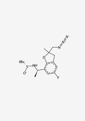 C[C@@H](N[S@+]([O-])C(C)(C)C)c1cc(F)cc2c1OC(C)(CN=[N+]=[N-])C2